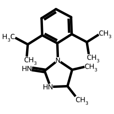 CC(C)c1cccc(C(C)C)c1N1C(=N)NC(C)C1C